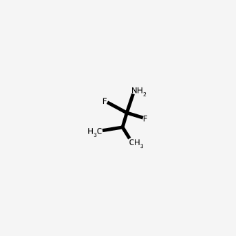 CC(C)C(N)(F)F